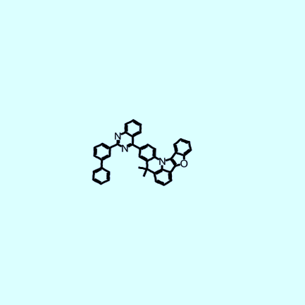 CC1(C)c2cc(-c3nc(-c4cccc(-c5ccccc5)c4)nc4ccccc34)ccc2-n2c3c1cccc3c1oc3ccccc3c12